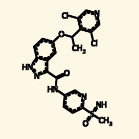 CC(Oc1ccc2[nH]nc(C(=O)Nc3ccc(S(C)(=N)=O)nc3)c2c1)c1c(Cl)cncc1Cl